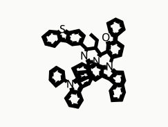 CCC1C(c2c(-n3c4cc5ccccc5cc4c4c5ccccc5ccc43)ccc3c2oc2ccccc23)=NC(c2ccc3c4ccccc4n(-c4ccccc4)c3c2)=NC1c1ccc2sc3ccccc3c2c1